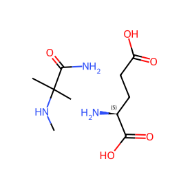 CNC(C)(C)C(N)=O.N[C@@H](CCC(=O)O)C(=O)O